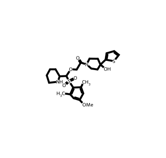 COc1cc(C)c(S(=O)(=O)C(OCC(=O)N2CCC(O)(c3cccs3)CC2)C2CCCCN2)c(C)c1